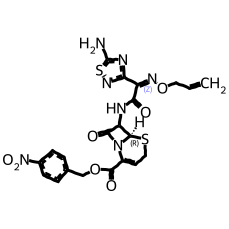 C=CCO/N=C(\C(=O)NC1C(=O)N2C(C(=O)OCc3ccc([N+](=O)[O-])cc3)=CCS[C@H]12)c1nsc(N)n1